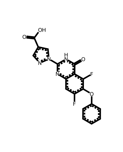 O=C(O)c1cnn(-c2nc3cc(F)c(Oc4ccccc4)c(F)c3c(=O)[nH]2)c1